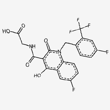 O=C(O)CNC(=O)c1c(O)c2cc(F)ccc2n(Cc2ccc(F)cc2C(F)(F)F)c1=O